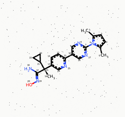 Cc1ccc(C)n1-c1ncc(-c2ccc([C@](C)(/C(N)=N/O)C3CC3)cn2)cn1